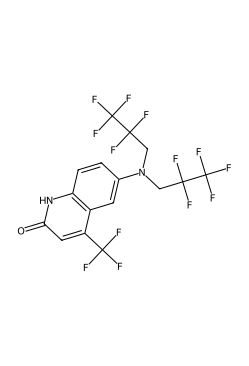 O=c1cc(C(F)(F)F)c2cc(N(CC(F)(F)C(F)(F)F)CC(F)(F)C(F)(F)F)ccc2[nH]1